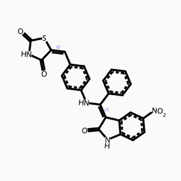 O=C1NC(=O)/C(=C\c2ccc(N/C(=C3\C(=O)Nc4ccc([N+](=O)[O-])cc43)c3ccccc3)cc2)S1